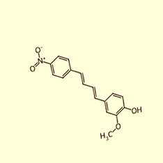 COc1cc(C=CC=Cc2ccc([N+](=O)[O-])cc2)ccc1O